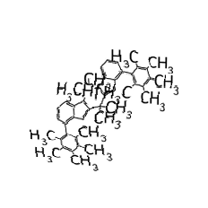 Cc1c(C)c(C)c(-c2cccc3c2C=C2[CH]3[Hf]([CH3])([CH3])[CH]3C(=Cc4c(-c5c(C)c(C)c(C)c(C)c5C)cccc43)C2(C)C)c(C)c1C